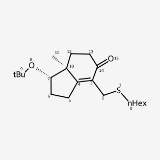 CCCCCCSCC1=C2CC[C@H](OC(C)(C)C)[C@@]2(C)CCC1=O